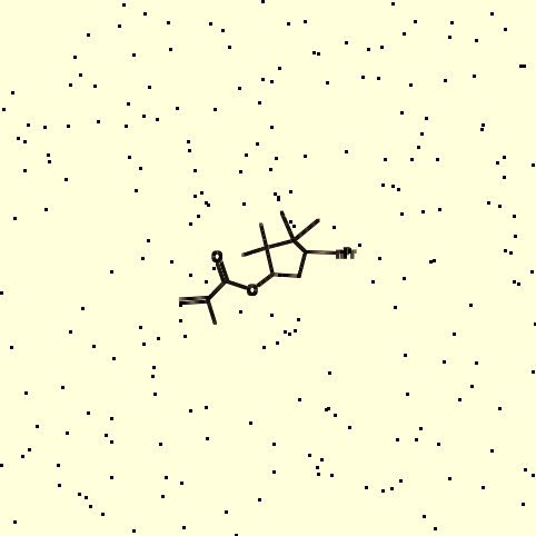 C=C(C)C(=O)OC1CC(CCC)C(C)(C)C1(C)C